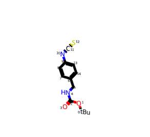 CC(C)(C)OC(=O)NCc1ccc(N=C=S)cc1